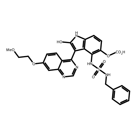 COCCOc1ccc2c(-c3c(O)[nH]c4ccc(OC(=O)O)c(NS(=O)(=O)NCc5ccccc5)c34)ncnc2c1